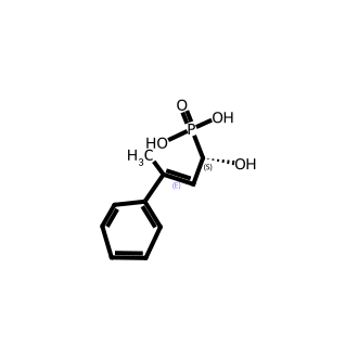 C/C(=C\[C@@H](O)P(=O)(O)O)c1ccccc1